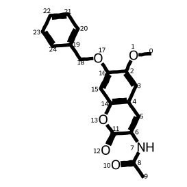 COc1cc2cc(NC(C)=O)c(=O)oc2cc1OCc1ccccc1